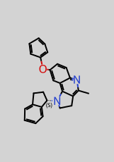 Cc1nc2ccc(Oc3ccccc3)cc2c2c1CCN2[C@H]1CCc2ccccc21